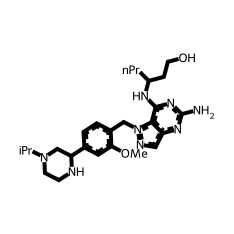 CCCC(CCO)Nc1nc(N)nc2cnn(Cc3ccc(C4CN(C(C)C)CCN4)cc3OC)c12